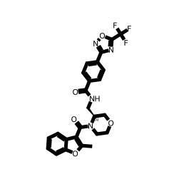 Cc1oc2ccccc2c1C(=O)N1CCOC[C@@H]1CNC(=O)c1ccc(-c2noc(C(F)(F)F)n2)cc1